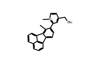 Cc1c(-c2cc(CC(C)(C)C)cc[n+]2C)ccc2c1-c1cccc3cccc-2c13